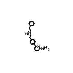 Nc1cccc(-c2ccc(CCNCCc3ccccc3)cc2)n1